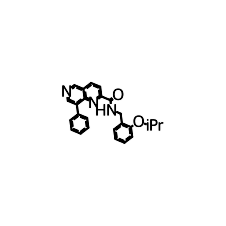 CC(C)Oc1ccccc1CNC(=O)c1ccc2cncc(-c3ccccc3)c2n1